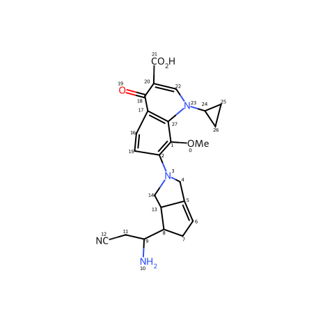 COc1c(N2CC3=CCC(C(N)CC#N)C3C2)ccc2c(=O)c(C(=O)O)cn(C3CC3)c12